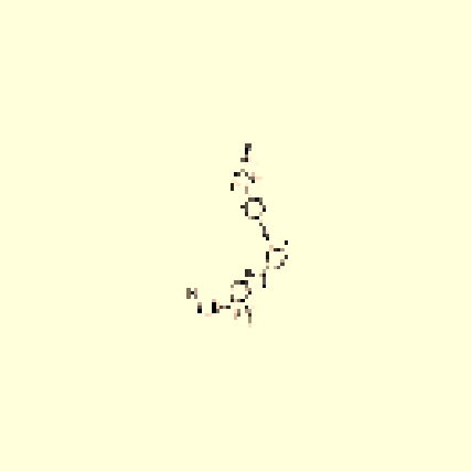 Cc1ccc(C(=O)Nc2ccc(CN3CC[C@@H](N(C)C)C3)c(C(F)(F)F)c2)cc1C#Cc1ccc(-c2ncc(C(F)(F)F)[nH]2)nc1